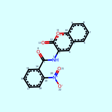 O=C(Nc1cc2ccccc2oc1=O)c1ccccc1[N+](=O)[O-]